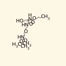 CCCCOC(=O)N[C@@H](CCO)C(=O)NCCOCCNC(=O)OC(C)(C)C